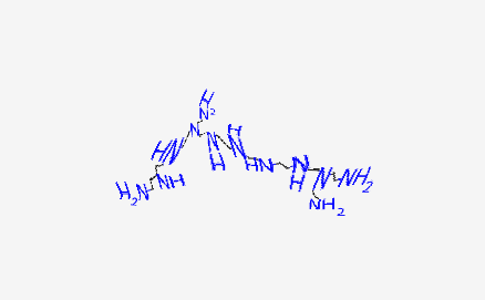 N=C(CCN)CCNCCN(CCN)CCNCCNCCNCCNCCN(CCN)CCN